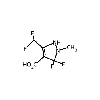 CN1NC(C(F)F)=C(C(=O)O)C1(F)F